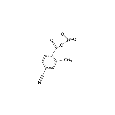 Cc1cc(C#N)ccc1C(=O)O[N+](=O)[O-]